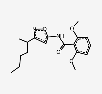 CCCCC(C)c1cc(NC(=O)c2c(OC)cccc2OC)on1